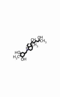 CC1[C@H](O)CC(=C/C=C2\CCC[C@]3(C)[C@@H]([C@H](C)CCC[C@@H](C)O)CC[C@@H]23)C[C@H]1O